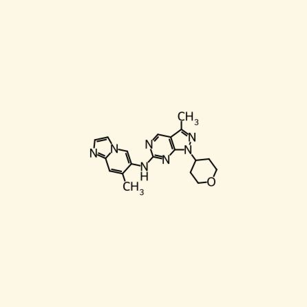 Cc1cc2nccn2cc1Nc1ncc2c(C)nn(C3CCOCC3)c2n1